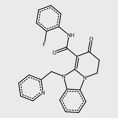 O=C1CCN2C(=C1C(=O)Nc1ccccc1F)N(Cc1ccccn1)c1ccccc12